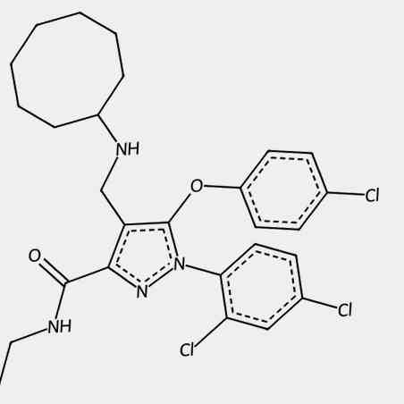 CCNC(=O)c1nn(-c2ccc(Cl)cc2Cl)c(Oc2ccc(Cl)cc2)c1CNC1CCCCCCC1